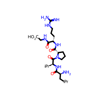 CC(C)C[C@H](N)C(=O)N[C@H](C(=O)N1CCC[C@H]1C(=O)N[C@@H](CCCNC(=N)N)C(=O)NCC(=O)O)C(C)C